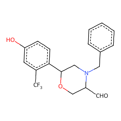 O=CC1COC(c2ccc(O)cc2C(F)(F)F)CN1Cc1ccccc1